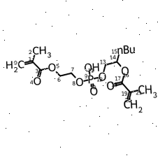 C=C(C)C(=O)OCCOP(=O)(O)OCC(CCCC)OC(=O)C(=C)C